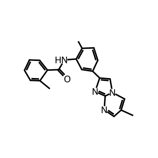 Cc1cnc2nc(-c3ccc(C)c(NC(=O)c4ccccc4C)c3)cn2c1